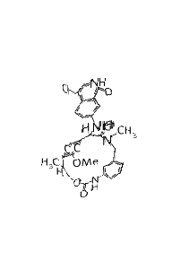 COc1cc2ccc1[C@@H](C)COC(=O)Nc1cccc(c1)CN(C)C(=O)[C@@H]2Nc1ccc2c(Cl)c[nH]c(=O)c2c1